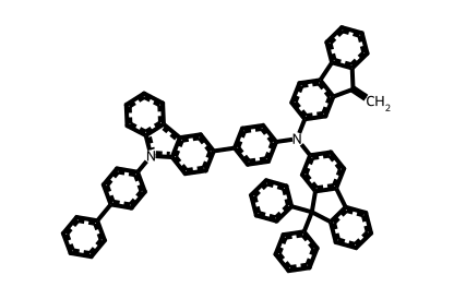 C=C1c2ccccc2-c2ccc(N(c3ccc(-c4ccc5c(c4)c4ccccc4n5-c4ccc(-c5ccccc5)cc4)cc3)c3ccc4c(c3)C(c3ccccc3)(c3ccccc3)c3ccccc3-4)cc21